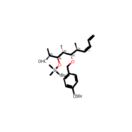 C=C/C=C\[C@H](C)[C@H](OCc1ccc(OC)cc1)[C@@H](C)[C@@H](O[Si](C)(C)C(C)(C)C)[C@H](C)C=O